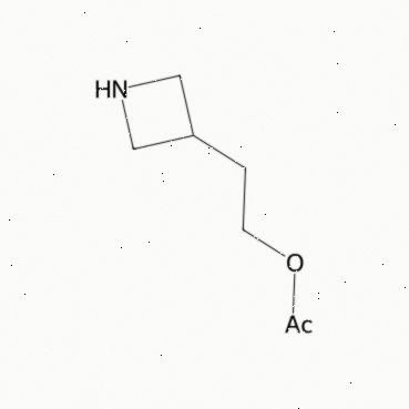 CC(=O)OCCC1CNC1